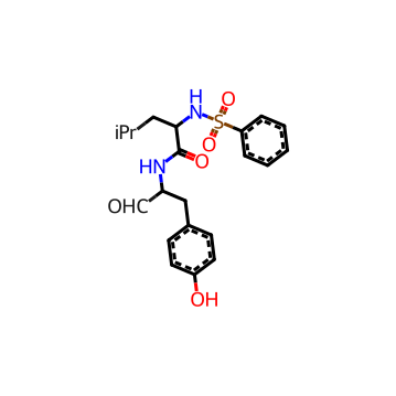 CC(C)CC(NS(=O)(=O)c1ccccc1)C(=O)NC(C=O)Cc1ccc(O)cc1